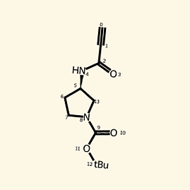 C#CC(=O)N[C@@H]1CCN(C(=O)OC(C)(C)C)C1